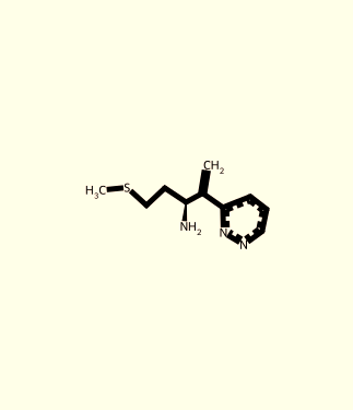 C=C(c1cccnn1)[C@@H](N)CCSC